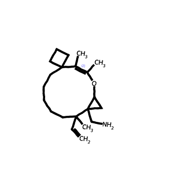 C=CC1(C)CCCCCC2(CCC2)/C(C)=C(/C)OC2CC21CN